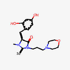 CN1C(=[Se])N(CCCN2CCOCC2)C(=O)C1=Cc1ccc(O)cc1O